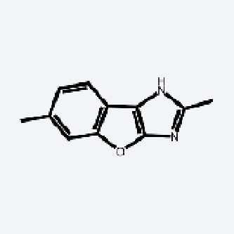 Cc1ccc2c(c1)oc1nc(C)[nH]c12